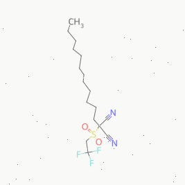 CCCCCCCCCCCCC(C#N)(C#N)S(=O)(=O)CC(F)(F)F